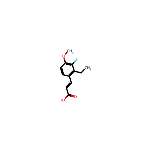 CCc1c(C=CC(=O)O)ccc(OC)c1F